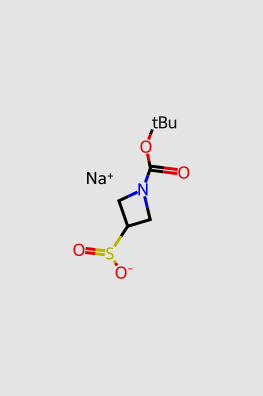 CC(C)(C)OC(=O)N1CC(S(=O)[O-])C1.[Na+]